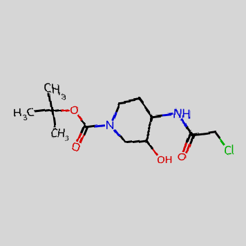 CC(C)(C)OC(=O)N1CCC(NC(=O)CCl)C(O)C1